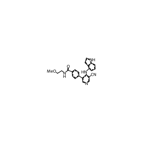 COCCNC(=O)c1ccc(-c2cncc(C#N)c2Nc2cccc3[nH]ccc23)cc1